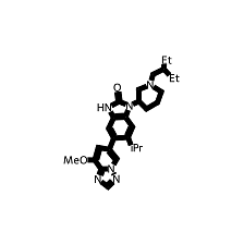 CCC(CC)CN1CCCC(n2c(=O)[nH]c3cc(-c4cc(OC)c5ncnn5c4)c(C(C)C)cc32)C1